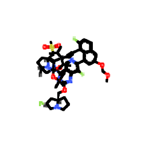 COCOc1cc(-c2ncc3c(N4C[C@@H]5CC[C@](CS(C)(=O)=O)(C4)N5C(=O)OC(C)(C)C)nc(OC[C@@]45CCCN4C[C@H](F)C5)nc3c2F)c2c(C#C[Si](C(C)C)(C(C)C)C(C)C)c(F)ccc2c1